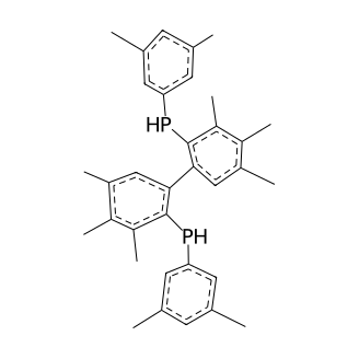 Cc1cc(C)cc(Pc2c(-c3cc(C)c(C)c(C)c3Pc3cc(C)cc(C)c3)cc(C)c(C)c2C)c1